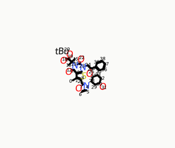 Cc1c(-c2ncco2)sc2c1c(=O)n(C(C)(C)C(=O)OC(C)(C)C)c(=O)n2CC(OC1CCC(=O)CC1)c1ccccc1